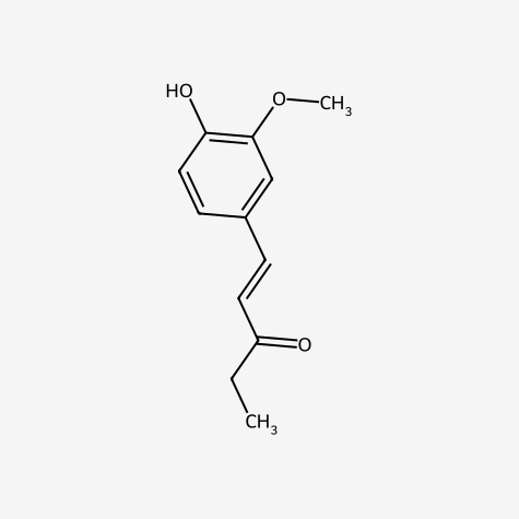 CCC(=O)/C=C/c1ccc(O)c(OC)c1